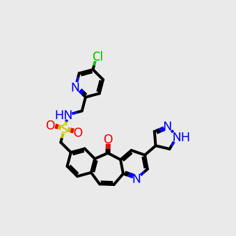 O=c1c2cc(CS(=O)(=O)NCc3ccc(Cl)cn3)ccc2ccc2ncc(C3C=NNC3)cc12